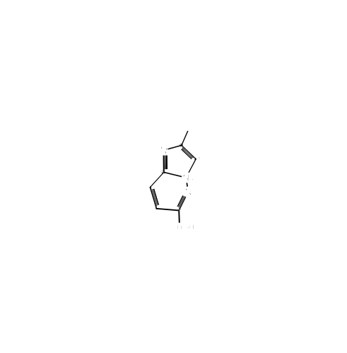 CCCCc1ccc2nc(Cl)cn2n1